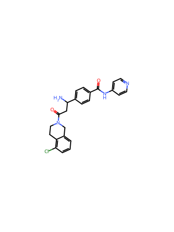 NC(CC(=O)N1CCc2c(Cl)cccc2C1)c1ccc(C(=O)Nc2ccncc2)cc1